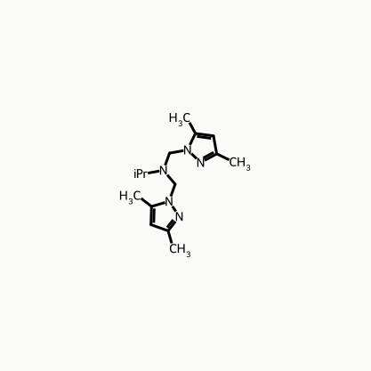 Cc1cc(C)n(CN(Cn2nc(C)cc2C)C(C)C)n1